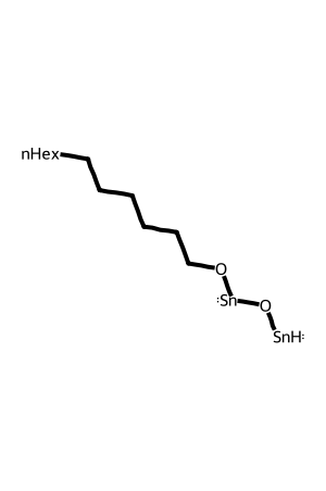 CCCCCCCCCCCC[O][Sn][O][SnH]